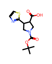 CC(C)(C)OC(=O)N1CC(C(=O)O)C(c2nccs2)C1